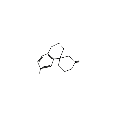 O=C1CCCC2(CCCc3ccc(F)cc32)C1